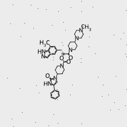 Cc1cc(C[C@@H](OC(=O)N2CCC(n3cc(-c4ccccc4)[nH]c3=O)CC2)C(=O)N2CCC(N3CCN(C)CC3)CC2)cc2cn[nH]c12